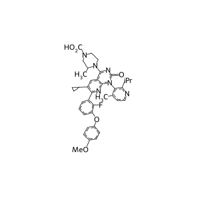 COc1ccc(Oc2cccc(-c3nc4c(cc3C3CC3)c(N3CCN(C(=O)O)CC3C)nc(=O)n4-c3c(C)ccnc3C(C)C)c2F)cc1